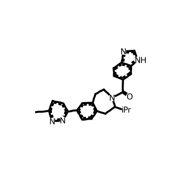 Cc1ccc(-c2ccc3c(c2)CCN(C(=O)c2ccc4nc[nH]c4c2)C(C(C)C)C3)nn1